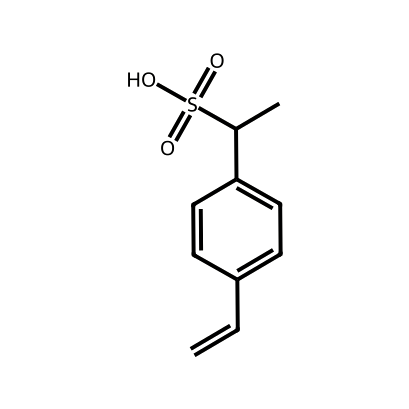 C=Cc1ccc(C(C)S(=O)(=O)O)cc1